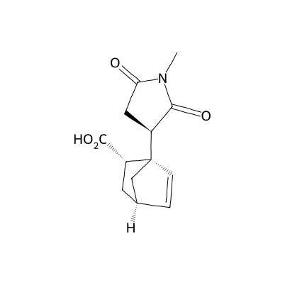 CN1C(=O)C[C@H]([C@]23C=C[C@@H](C[C@@H]2C(=O)O)C3)C1=O